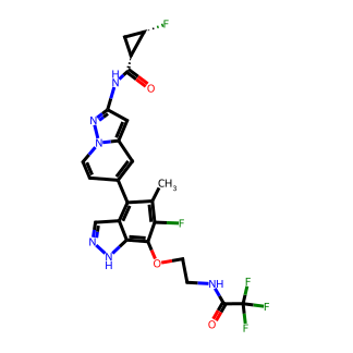 Cc1c(F)c(OCCNC(=O)C(F)(F)F)c2[nH]ncc2c1-c1ccn2nc(NC(=O)[C@@H]3C[C@@H]3F)cc2c1